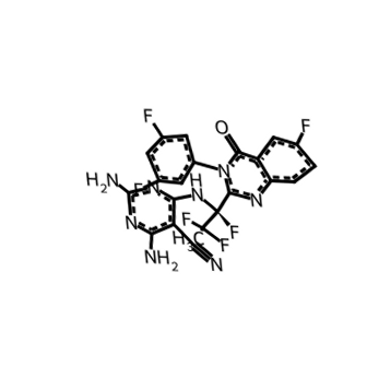 CC(F)(F)[C@](F)(Nc1nc(N)nc(N)c1C#N)c1nc2ccc(F)cc2c(=O)n1-c1cc(F)cc(F)c1